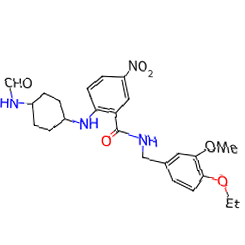 CCOc1ccc(CNC(=O)c2cc([N+](=O)[O-])ccc2NC2CCC(NC=O)CC2)cc1OC